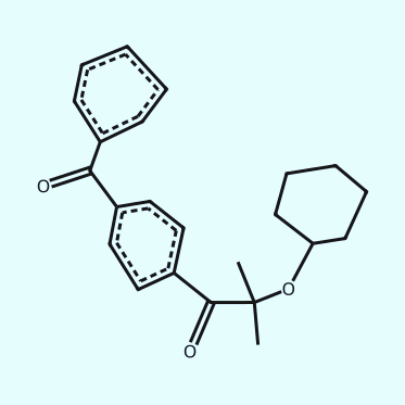 CC(C)(OC1CCCCC1)C(=O)c1ccc(C(=O)c2ccccc2)cc1